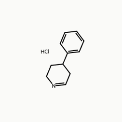 C1=NCCC(c2ccccc2)C1.Cl